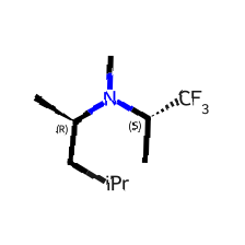 CC(C)C[C@@H](C)N(C)[C@@H](C)C(F)(F)F